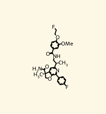 COc1cc(C(=O)NC[C@@H](C)c2cc3c(c(-c4ccc(F)cc4)n2)OC[C@]3(C)C(N)=O)ccc1OCCF